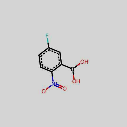 O=[N+]([O-])c1ccc(F)cc1B(O)O